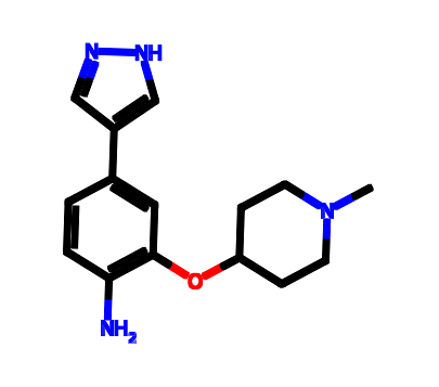 CN1CCC(Oc2cc(-c3cn[nH]c3)ccc2N)CC1